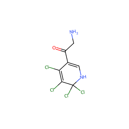 NCC(=O)C1=CNC(Cl)(Cl)C(Cl)=C1Cl